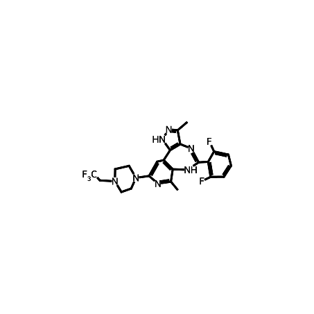 Cc1n[nH]c2c1N=C(c1c(F)cccc1F)Nc1c-2cc(N2CCN(CC(F)(F)F)CC2)nc1C